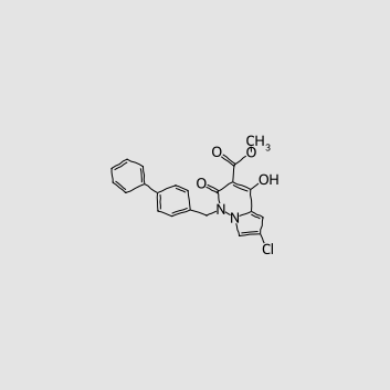 COC(=O)c1c(O)c2cc(Cl)cn2n(Cc2ccc(-c3ccccc3)cc2)c1=O